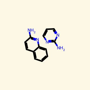 Nc1ccc2ccccc2n1.Nc1ncccn1